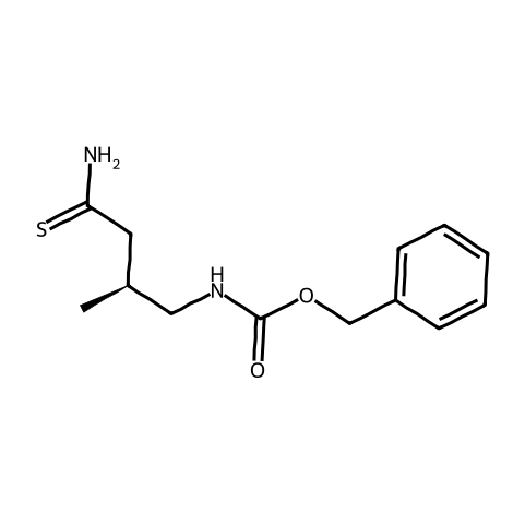 C[C@H](CNC(=O)OCc1ccccc1)CC(N)=S